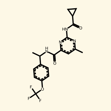 Cc1cc(C(=O)NC(C)c2ccc(OC(F)(F)F)cc2)nc(NC(=O)C2CC2)n1